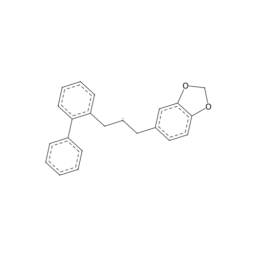 [CH](Cc1ccc2c(c1)OCO2)Cc1ccccc1-c1ccccc1